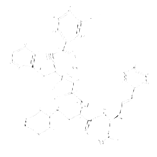 NC(=O)[C@H](CC=Cc1ccccc1)NC(=O)C(CCC1CCCCC1)NC(=O)CP(=O)(O)C(Cc1ccccc1)NC(=O)c1cccc(F)c1